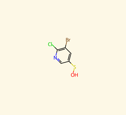 OSc1cnc(Cl)c(Br)c1